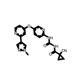 Cn1cc(-c2cc(Oc3ccc(NC(=O)NC(=O)C4(C#N)CC4)nc3)ccn2)cn1